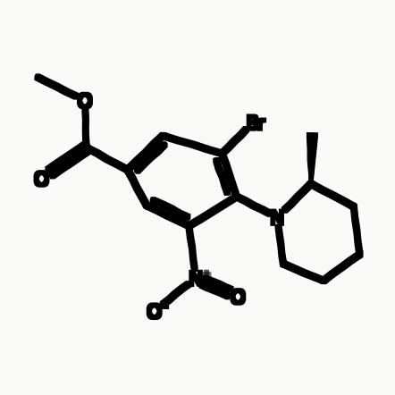 COC(=O)c1cc(Br)c(N2CCCC[C@@H]2C)c([N+](=O)[O-])c1